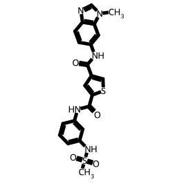 Cn1cnc2ccc(NC(=O)c3csc(C(=O)Nc4cccc(NS(C)(=O)=O)c4)c3)cc21